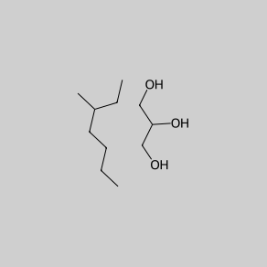 CCCCC(C)CC.OCC(O)CO